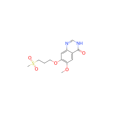 COc1cc2c(=O)[nH]cnc2cc1OCCCS(C)(=O)=O